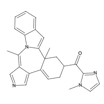 CC1=C2C=NC=C2C2=CCC(C(=O)c3nccn3C)CC2(C)c2cc3ccccc3n21